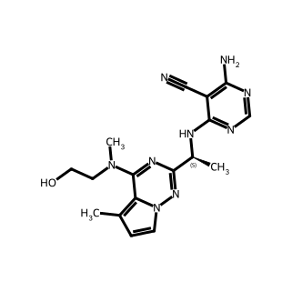 Cc1ccn2nc([C@H](C)Nc3ncnc(N)c3C#N)nc(N(C)CCO)c12